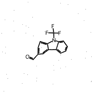 O=Cc1ccc2c(c1)c1ccccc1n2C(F)(F)F